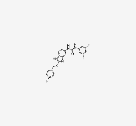 O=C(Nc1cc(F)cc(F)c1)Nc1ccc2[nH]c(SCc3ccc(F)cc3)nc2c1